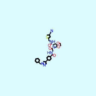 N#Cc1csc(CNC(=O)[C@@H]2CC3(CN2C(=O)CNC(=O)c2ccc(-c4cnn(Cc5ccccc5)c4)cc2)OCCO3)c1